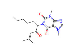 CCCCCC(C(=O)C=C(C)C)n1c(=O)c2c(ncn2C)n(C)c1=O